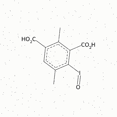 Cc1cc(C(=O)O)c(C)c(C(=O)O)c1I=O